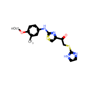 CCCCCCCCOc1ccc(Nc2nc(C(=O)CSc3ncc[nH]3)cs2)cc1C(F)(F)F